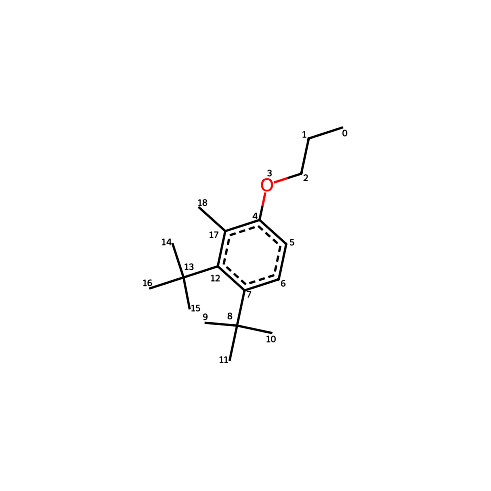 CCCOc1ccc(C(C)(C)C)c(C(C)(C)C)c1C